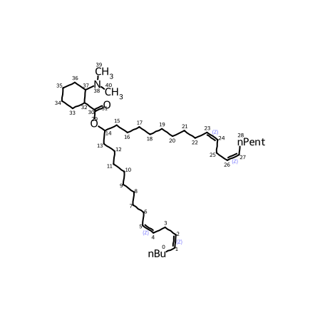 CCCC/C=C\C/C=C\CCCCCCCCC(CCCCCCCC/C=C\C/C=C\CCCCC)OC(=O)C1CCCCC1N(C)C